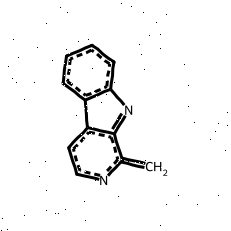 C=c1nccc2c1=Nc1ccccc1-2